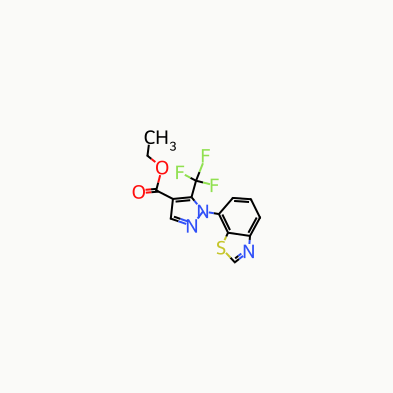 CCOC(=O)c1cnn(-c2cccc3ncsc23)c1C(F)(F)F